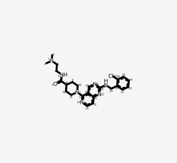 CN(C)CCNC(=O)C1CCN(c2nccc3nc(NCc4ccccc4Cl)ncc23)CC1